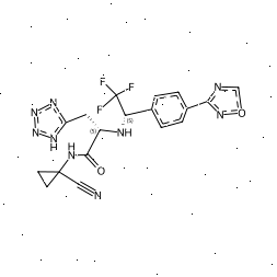 N#CC1(NC(=O)[C@H](Cc2nnn[nH]2)N[C@@H](c2ccc(-c3ncon3)cc2)C(F)(F)F)CC1